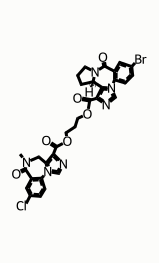 CN1Cc2c(C(=O)OCCCOC(=O)c3ncn4c3[C@@H]3CCCN3C(=O)c3cc(Br)ccc3-4)ncn2-c2ccc(Cl)cc2C1=O